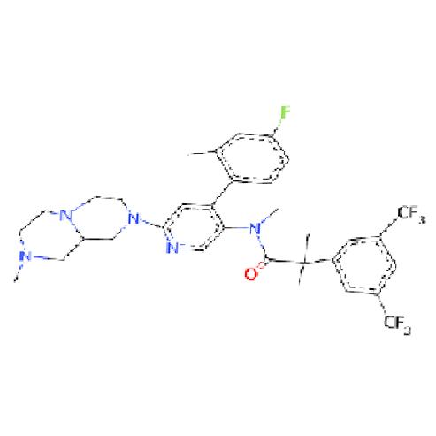 Cc1cc(F)ccc1-c1cc(N2CCN3CCN(C)CC3C2)ncc1N(C)C(=O)C(C)(C)c1cc(C(F)(F)F)cc(C(F)(F)F)c1